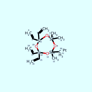 C=C[Si]1(C=C)O[Si](C)(C)O[Si](C)(C)O[Si](C=C)(C=C)O1.[Pt]